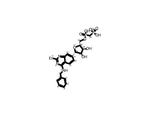 CCc1nc(NCc2ccccc2)c2ccc([C@@H]3O[C@H](COP(=O)(O)CP(=O)(O)O)[C@@H](O)[C@H]3O)cc2n1